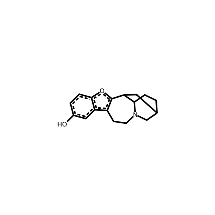 Oc1ccc2oc3c(c2c1)CCN1CC2CCC1C3C2